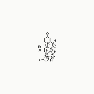 CCO.C[C@]12CCC(=O)C=C1[C@@H]1C[C@@H]1[C@H]1[C@@H]3[C@@H]4C[C@@H]4[C@@]4(CCC(=O)O4)[C@@]3(C)CC[C@@H]12